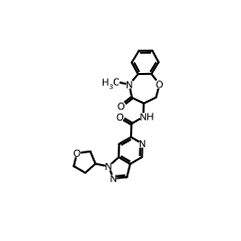 CN1C(=O)C(NC(=O)c2cc3c(cn2)cnn3C2CCOC2)COc2ccccc21